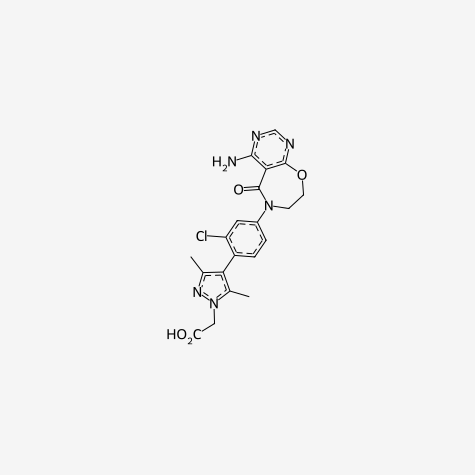 Cc1nn(CC(=O)O)c(C)c1-c1ccc(N2CCOc3ncnc(N)c3C2=O)cc1Cl